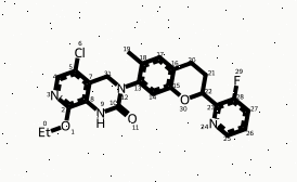 CCOc1ncc(Cl)c2c1NC(=O)N(c1cc3c(cc1C)CCC(c1ncccc1F)O3)C2